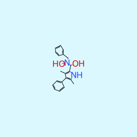 Cc1[nH]c(C(O)N(O)Cc2ccccc2)c(C)c1-c1ccccc1